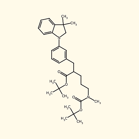 CN(CCCC(Cc1cccc(N2CC(C)(C)c3ccccc32)c1)C(=O)OC(C)(C)C)C(=O)OC(C)(C)C